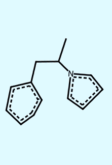 CC(Cc1ccccc1)n1cccc1